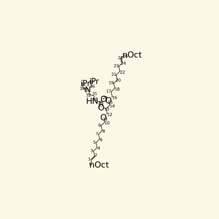 CCCCCCCCC=CCCCCCCCCOCC(COCCCCCCCCC=CCCCCCCCC)OC(=O)NCCN(CC(C)C)CC(C)C